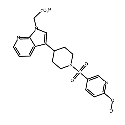 CCOc1ccc(S(=O)(=O)N2CCC(c3cn(CC(=O)O)c4ncccc34)CC2)cn1